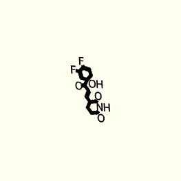 O=C1CCC(/C=C/C(=O)C2(O)C=C(F)C(F)=CC2)C(=O)N1